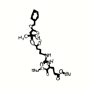 CC(C)(C)OC(=O)CCC(NC(=O)NCCCC(=O)OC(C)(C)CC(=O)OCc1ccccc1)C(=O)OC(C)(C)C